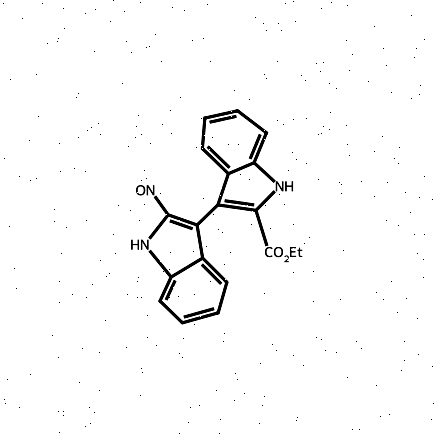 CCOC(=O)c1[nH]c2ccccc2c1-c1c(N=O)[nH]c2ccccc12